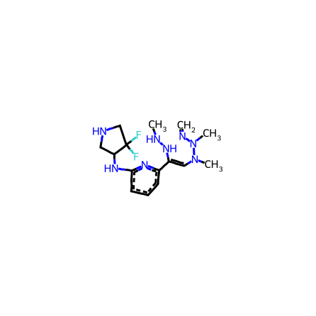 C=NN(C)N(C)/C=C(\NNC)c1cccc(NC2CNCC2(F)F)n1